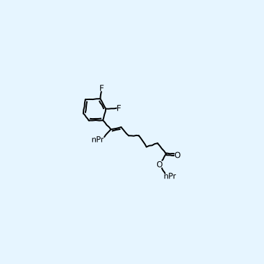 CCCOC(=O)CCCCC=C(CCC)c1cccc(F)c1F